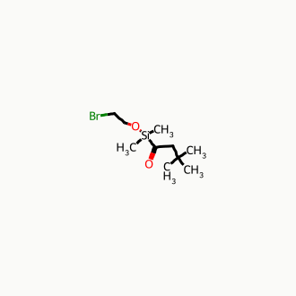 CC(C)(C)CC(=O)[Si](C)(C)OCCBr